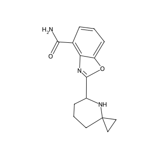 NC(=O)c1cccc2oc(C3CCCC4(CC4)N3)nc12